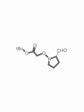 CC(C)(C)OC(=O)CON1CCC[C@H]1C=O